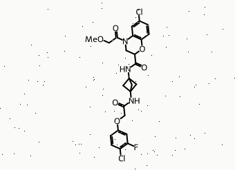 COCC(=O)N1CC(C(=O)NC23CC(NC(=O)COc4ccc(Cl)c(F)c4)(C2)C3)Oc2ccc(Cl)cc21